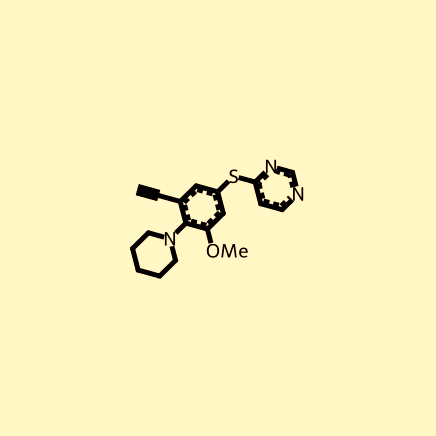 C#Cc1cc(Sc2ccncn2)cc(OC)c1N1CCCCC1